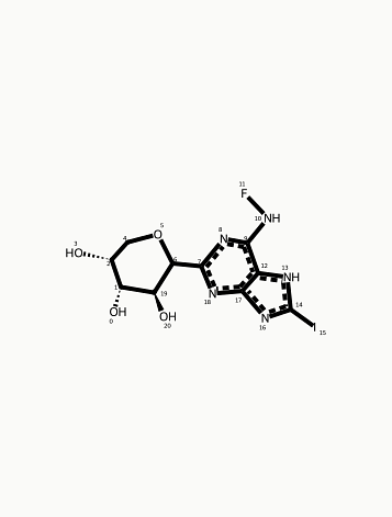 O[C@@H]1[C@H](O)COC(c2nc(NF)c3[nH]c(I)nc3n2)[C@H]1O